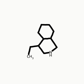 CCC1CNCC2CCCCC12